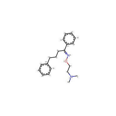 CN(C)CCON=C(CCCc1ccccc1)c1ccccc1